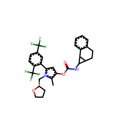 Cc1c(OC(=O)NC2C3CCc4ccccc4C32)cc(-c2cc(C(F)(F)F)ccc2C(F)(F)F)n1C[C@H]1CCCO1